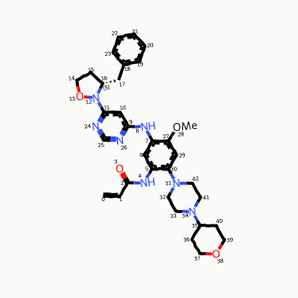 C=CC(=O)Nc1cc(Nc2cc(N3OCC[C@@H]3Cc3ccccc3)ncn2)c(OC)cc1N1CCN(C2CCOCC2)CC1